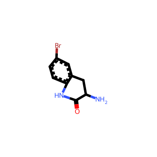 NC1Cc2cc(Br)ccc2NC1=O